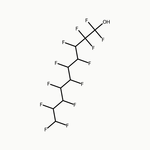 OC(F)(F)C(F)(F)C(F)C(F)C(F)C(F)C(F)C(F)C(F)C(F)F